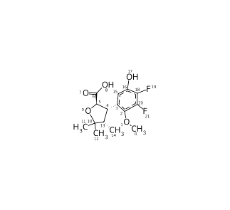 COc1c([C@H]2[C@H](C(=O)O)OC(C)(C)[C@H]2C)cc(O)c(F)c1F